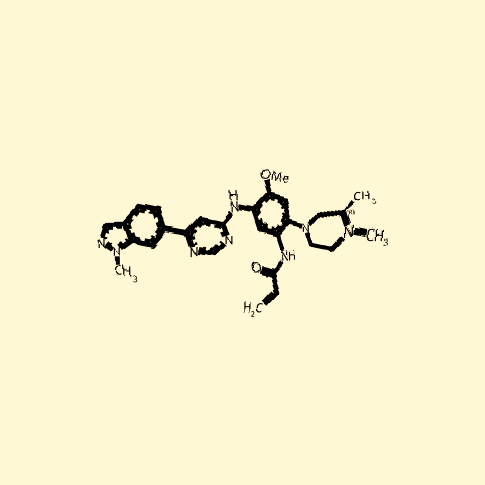 C=CC(=O)Nc1cc(Nc2cc(-c3ccc4cnn(C)c4c3)ncn2)c(OC)cc1N1CCN(C)[C@H](C)C1